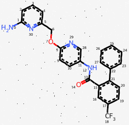 Nc1cccc(COc2ccc(NC(=O)c3cc(C(F)(F)F)ccc3-c3ccccc3)cn2)n1